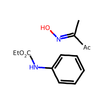 CC(=O)C(C)=NO.CCOC(=O)Nc1ccccc1